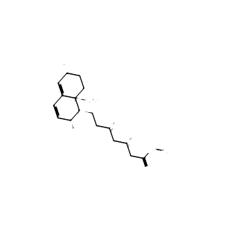 CN[C@]12CC[C@@H](C)C=C1C=C[C@H](C)[C@@H]2CC[C@@H](O)C[C@@H](O)CC(=O)ON